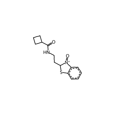 O=C(NCCC1Sc2ccccc2[N+]1=O)C1CCC1